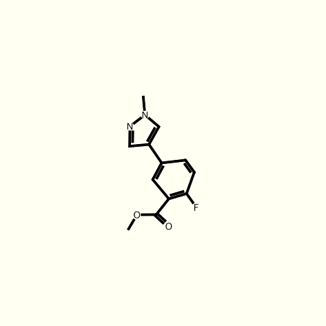 COC(=O)c1cc(-c2cnn(C)c2)ccc1F